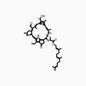 CCc1c2c3n(C)/c1=C\C(=N)/C(CC(C)C)=C(C=O)\C(C)=C\c1c([C@H](C)O)c(C)c(n1C)/C=C(\C)[C@@H](C)[C@H](CCC(=O)OC/C=C(\C)CC/C=C(\C)CCC=C(C)C)C(=N)C=3CC2=O